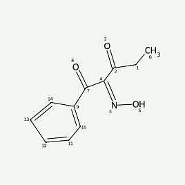 CCC(=O)C(=NO)C(=O)c1ccccc1